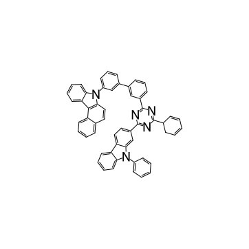 C1=CCC(c2nc(-c3cccc(-c4cccc(-n5c6ccccc6c6c7ccccc7ccc65)c4)c3)nc(-c3ccc4c5ccccc5n(-c5ccccc5)c4c3)n2)C=C1